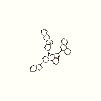 c1ccc(-c2cc(-c3ccc4ccccc4c3)ccc2N(c2cccc(-c3cc4ccccc4c4ccccc34)c2)c2ccc3c(c2)oc2cc4ccccc4cc23)cc1